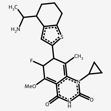 COC1=c2c(=O)[nH]c(=O)n(C3CC3)c2=C(C)C(c2cc3c(s2)CCCC3C(C)N)C1F